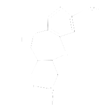 CCN(CC)CC1Sc2cc(OC)ccc2OCC1O.Cl